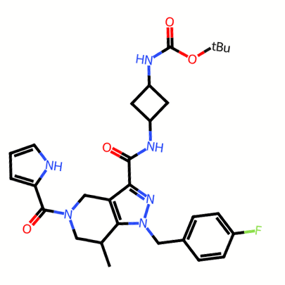 CC1CN(C(=O)c2ccc[nH]2)Cc2c(C(=O)NC3CC(NC(=O)OC(C)(C)C)C3)nn(Cc3ccc(F)cc3)c21